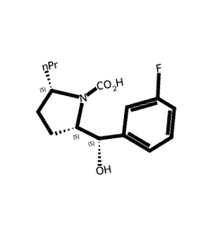 CCC[C@H]1CC[C@@H]([C@@H](O)c2cccc(F)c2)N1C(=O)O